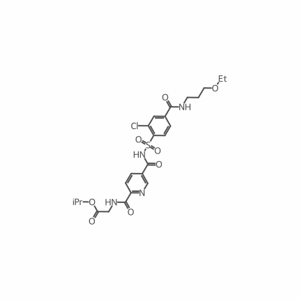 CCOCCCNC(=O)c1ccc(S(=O)(=O)NC(=O)c2ccc(C(=O)NCC(=O)OC(C)C)nc2)c(Cl)c1